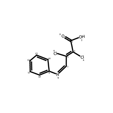 O=C(O)/C(Cl)=C(Cl)/C=N\c1ccccc1